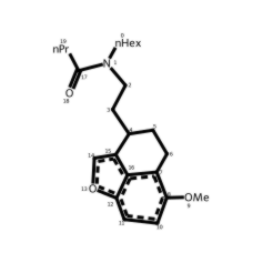 CCCCCCN(CCC1CCc2c(OC)ccc3occ1c23)C(=O)CCC